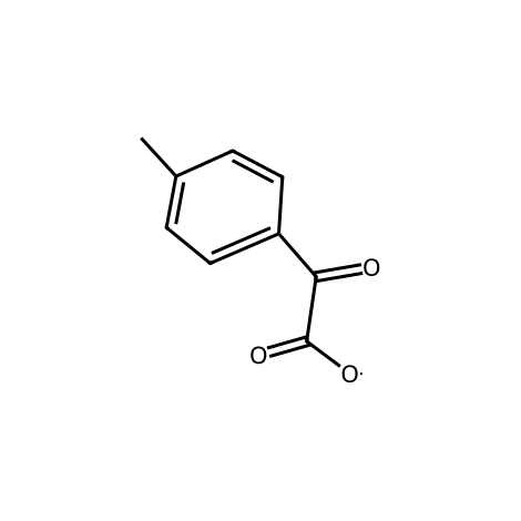 Cc1ccc(C(=O)C([O])=O)cc1